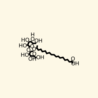 CC(CCCCCCCCCCCCCCCC(=O)O)OC1OC(CO)C(O)C(O)C1OC1OC(CO)C(O)C(O)C1O